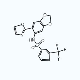 O=S(=O)(Nc1cc2c(cc1-c1ncco1)OCO2)c1cccc(C(F)(F)F)c1